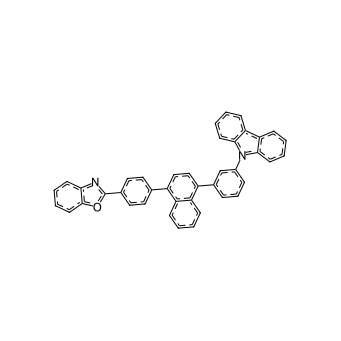 c1cc(-c2ccc(-c3ccc(-c4nc5ccccc5o4)cc3)c3ccccc23)cc(-n2c3ccccc3c3ccccc32)c1